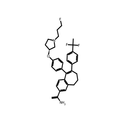 C=C(N)c1ccc2c(c1)CCCC(c1ccc(C(C)(F)F)cc1)=C2c1ccc(O[C@H]2CCN(CCCF)C2)cc1